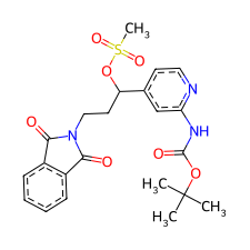 CC(C)(C)OC(=O)Nc1cc(C(CCN2C(=O)c3ccccc3C2=O)OS(C)(=O)=O)ccn1